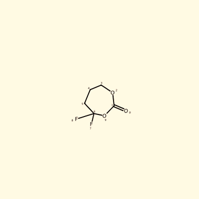 O=C1OCCCC(F)(F)O1